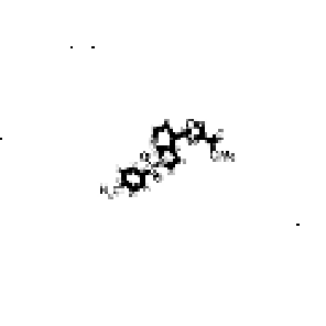 COC(=O)c1coc(-c2ccnc3c2ccn3S(=O)(=O)c2ccc(C)cc2)n1